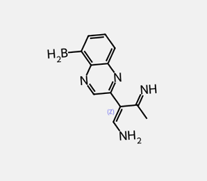 Bc1cccc2nc(/C(=C/N)C(C)=N)cnc12